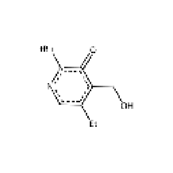 CCc1cnn(C(C)(C)C)c(=O)c1CO